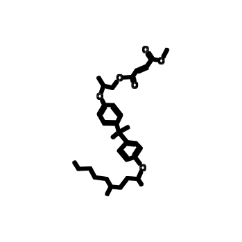 CCCCCC(C)CCC(C)Oc1ccc(C(C)(C)c2ccc(OC(C)COC(=O)/C=C/C(=O)OC)cc2)cc1